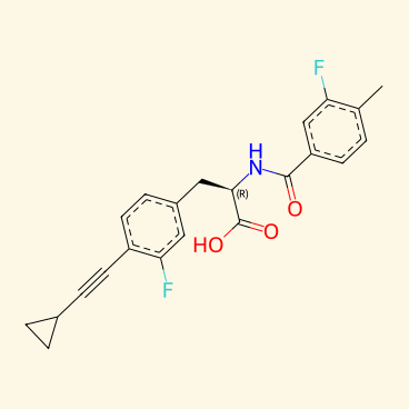 Cc1ccc(C(=O)N[C@H](Cc2ccc(C#CC3CC3)c(F)c2)C(=O)O)cc1F